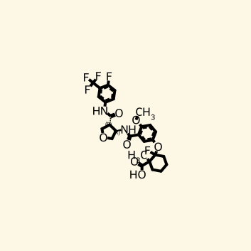 COc1ccc(OC2(F)CCCCC2(C)C(=O)O)cc1C(=O)N[C@H]1COC[C@@H]1C(=O)Nc1ccc(F)c(C(F)(F)F)c1